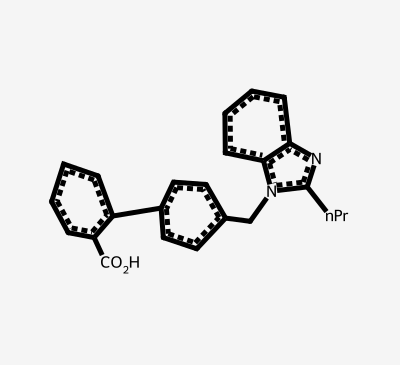 CCCc1nc2ccccc2n1Cc1ccc(-c2ccccc2C(=O)O)cc1